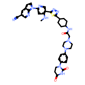 CNc1cc(-n2ccc3cc(C#N)cnc32)ncc1-c1nnc(C2CCC(NC(=O)CN3CCN(c4ccc(N5CCC(=O)NC5=O)cc4)CC3)CC2)s1